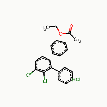 CCOC(C)=O.Cl.Clc1cccc(-c2ccccc2)c1Cl.c1ccccc1